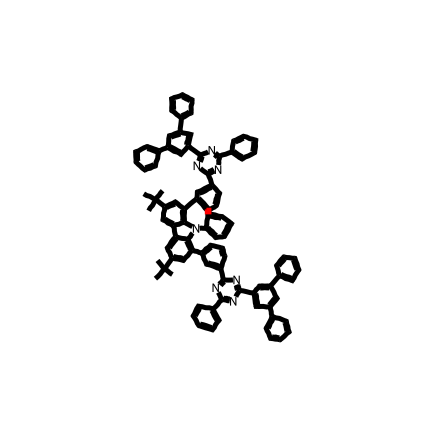 CC(C)(C)c1cc(-c2cccc(-c3nc(-c4ccccc4)nc(-c4cc(-c5ccccc5)cc(-c5ccccc5)c4)n3)c2)c2c(c1)c1cc(C(C)(C)C)cc(-c3cccc(-c4nc(-c5ccccc5)nc(-c5cc(-c6ccccc6)cc(-c6ccccc6)c5)n4)c3)c1n2-c1ccccc1